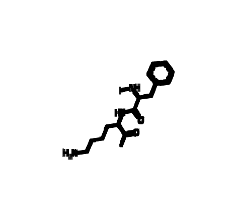 CC(=O)C(CCCCN)NC(=O)C(Cc1ccccc1)NI